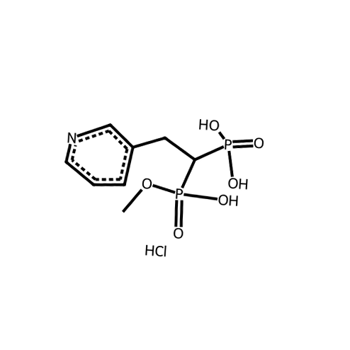 COP(=O)(O)C(Cc1cccnc1)P(=O)(O)O.Cl